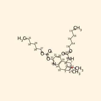 C/C=C1\C2C=C(C)CC1(NC(=O)OCCCCCC)c1ccc(OC(=O)OCCCCCC)nc1C2